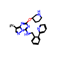 CC(C)c1cnn2c(NCc3ccccc3-c3ccccn3)nc(OC3CCCNC3)nc12